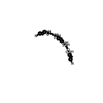 N#Cc1ccc2c(c1)Cc1cc(NC(=O)OCCCNC(=S)Nc3ccc4c(c3)Cc3cc(NC(=S)NCCCOC(=O)Nc5ccc6c(c5)Cc5cc(C#N)ccc5-6)ccc3-4)ccc1-2